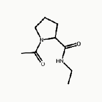 CCNC(=O)C1CCCN1C(C)=O